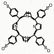 O=Bc1ccc(-c2c3nc(c(-c4ccc(B=O)cc4)c4ccc([nH]4)c(-c4ccc(B=O)cc4)c4nc(c(-c5ccc(B=O)cc5)c5ccc2[nH]5)C=C4)C=C3)cc1